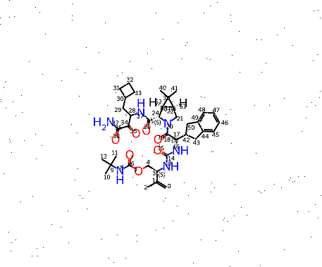 C=C(C)[C@@H](COC(=O)NC(C)(C)C)NC(=O)N[C@H](C(=O)N1C[C@H]2[C@@H]([C@H]1C(=O)NC(CC1CCC1)C(=O)C(N)=O)C2(C)C)C1Cc2ccccc2C1